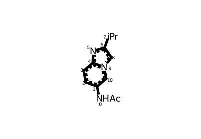 CC(=O)Nc1ccc2nc(C(C)C)cn2c1